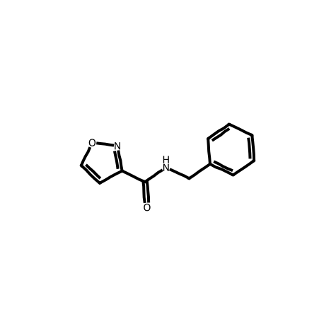 O=C(NCc1ccccc1)c1ccon1